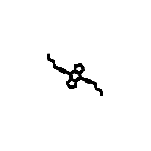 CCCCC#Cc1c2ccsc2c(C#CCCCC)c2ccsc12